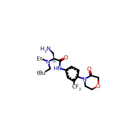 CCN(CC(C)(C)C)[C@@H](CN)C(=O)Nc1ccc(N2CCOCC2=O)c(C(F)(F)F)c1